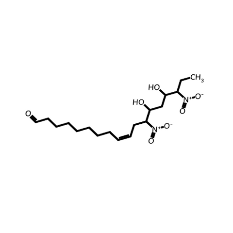 CCC(C(O)CC(O)C(C/C=C\CCCCCCCC=O)[N+](=O)[O-])[N+](=O)[O-]